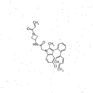 C=C/C=C\C(=C/C)c1ccccc1-c1c(C)n(CC(=O)NC2CN(C(=O)C=C)C2)c2ccc(Cl)cc12